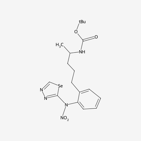 CC(CCCc1ccccc1N(c1nnc[se]1)[N+](=O)[O-])NC(=O)OC(C)(C)C